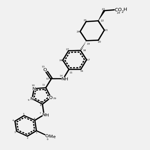 COc1ccccc1Nc1nnc(C(=O)Nc2ccc([C@H]3CC[C@H](CC(=O)O)CC3)cc2)o1